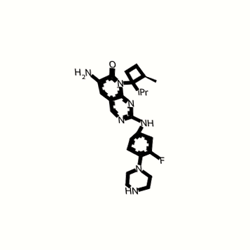 CC(C)C1(n2c(=O)c(N)cc3cnc(Nc4ccc(N5CCNCC5)c(F)c4)nc32)CC[C@H]1C